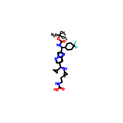 CC(C)(C)OC(=O)NC(c1cn2ncc(C(NC3C[C@H]3CCNC(=O)O)C3CC3)cc2n1)C1CCC(F)(F)CC1